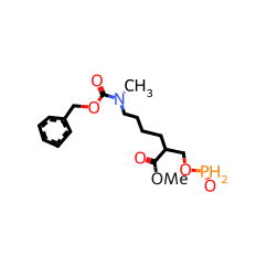 COC(=O)C(CCCCN(C)C(=O)OCc1ccccc1)CO[PH2]=O